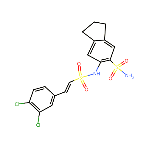 NS(=O)(=O)c1cc2c(cc1NS(=O)(=O)/C=C/c1ccc(Cl)c(Cl)c1)CCC2